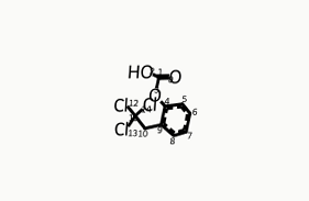 O=C(O)Oc1ccccc1CC(Cl)(Cl)Cl